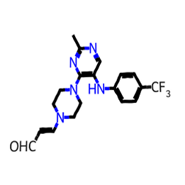 Cc1ncc(Nc2ccc(C(F)(F)F)cc2)c(N2CCN(C=CC=O)CC2)n1